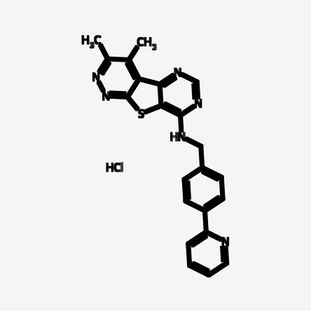 Cc1nnc2sc3c(NCc4ccc(-c5ccccn5)cc4)ncnc3c2c1C.Cl